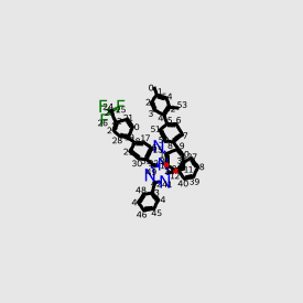 Cc1ccc(-c2ccc3c4ccccc4n(-c4cc(-c5ccc(C(F)(F)F)cc5)ccc4-c4nc(-c5ccccc5)nc(-c5ccccc5)n4)c3c2)c(C)c1